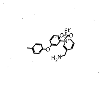 CCS(=O)(=O)[N+]1(c2cccc(Oc3ccc(C)cc3)c2)C=C(CN)C=CC1